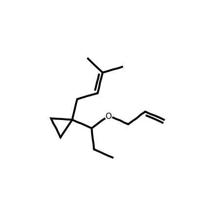 C=CCOC(CC)C1(CC=C(C)C)CC1